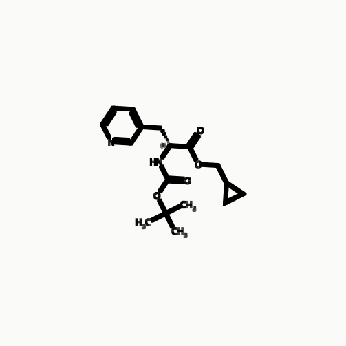 CC(C)(C)OC(=O)N[C@H](Cc1cccnc1)C(=O)OCC1CC1